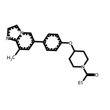 CCC(=O)N1CCC(Oc2ccc(-c3cc(C)c4nccn4c3)cc2)CC1